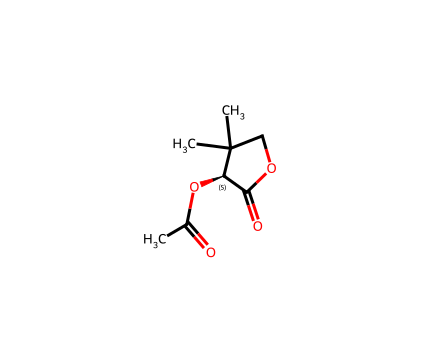 CC(=O)O[C@@H]1C(=O)OCC1(C)C